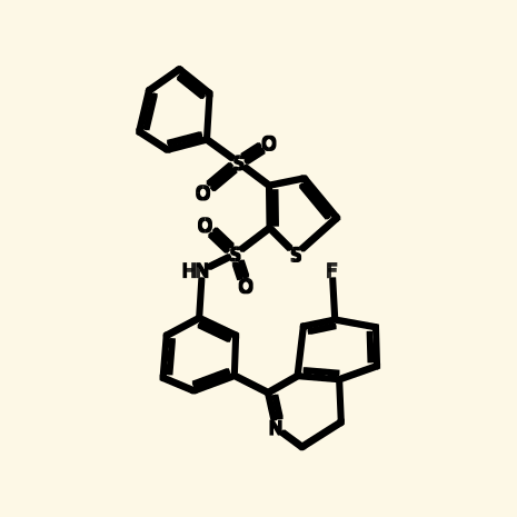 O=S(=O)(Nc1cccc(C2=NCCc3ccc(F)cc32)c1)c1sccc1S(=O)(=O)c1ccccc1